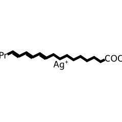 CCCC=CC=CC=CCCCCCCCCC(=O)[O-].[Ag+]